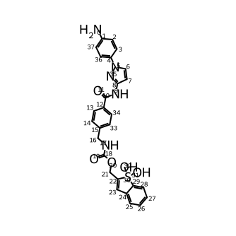 Nc1ccc(-n2ccc(NC(=O)c3ccc(CNC(=O)OCC4=Cc5ccccc5S4(O)O)cc3)n2)cc1